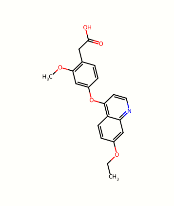 CCOc1ccc2c(Oc3ccc(CC(=O)O)c(OC)c3)ccnc2c1